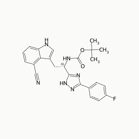 CC(C)(C)OC(=O)N[C@@H](Cc1c[nH]c2cccc(C#N)c12)c1nc(-c2ccc(F)cc2)n[nH]1